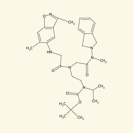 Cc1cc2onc(C)c2cc1NCC(=O)N(CCN(C(=O)OC(C)(C)C)C(C)C)CC(=O)N(C)N1Cc2ccccc2C1